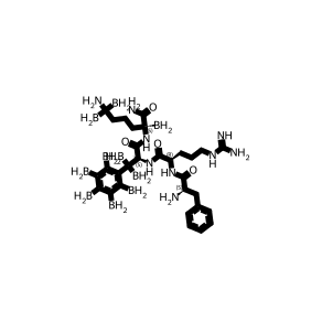 Bc1c(B)c(B)c(C(B)(B)[C@H](NC(=O)[C@@H](CCCNC(=N)N)NC(=O)[C@@H](N)Cc2ccccc2)C(=O)N[C@@](B)(CCCC(B)(B)N)C(N)=O)c(B)c1B